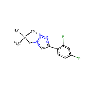 C[Si](C)(C)Cn1cc(-c2ccc(F)cc2F)nn1